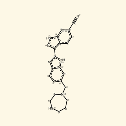 N#Cc1ccc2c(-c3cc4ccc(CN5CCCNCC5)cc4[nH]3)n[nH]c2c1